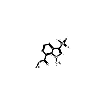 COC(=O)c1cccc2c(S(=O)(=O)Cl)cn(C)c12